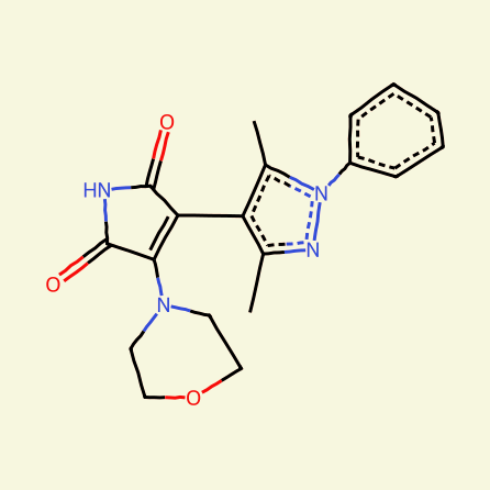 Cc1nn(-c2ccccc2)c(C)c1C1=C(N2CCOCC2)C(=O)NC1=O